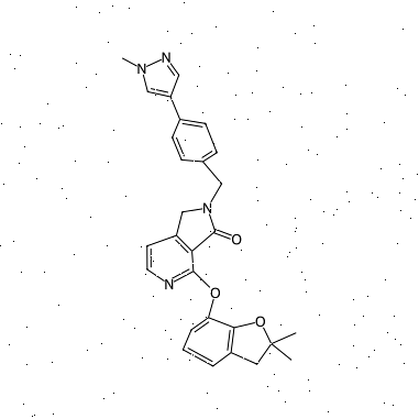 Cn1cc(-c2ccc(CN3Cc4ccnc(Oc5cccc6c5OC(C)(C)C6)c4C3=O)cc2)cn1